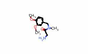 COc1ccc(CN(C)C(=O)CN)cc1OC